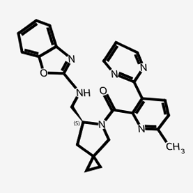 Cc1ccc(-c2ncccn2)c(C(=O)N2CC3(CC3)C[C@H]2CNc2nc3ccccc3o2)n1